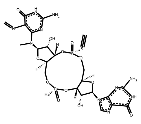 C#S[P@]1(=O)OC[C@H]2O[C@@H](n3cnc4c(=O)[nH]c(N)nc43)[C@H](O)[C@@H]2O[P@](=O)(S)OC[C@H]2O[C@@H](N(C)c3nc(N)[nH]c(=O)c3N=C)[C@H](O)[C@@H]2O1